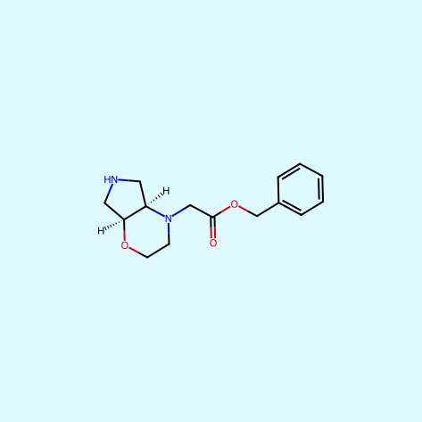 O=C(CN1CCO[C@H]2CNC[C@H]21)OCc1ccccc1